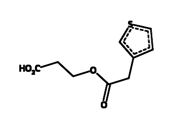 O=C(O)CCOC(=O)Cc1ccsc1